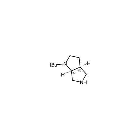 CC(C)(C)N1CC[C@H]2CNC[C@H]21